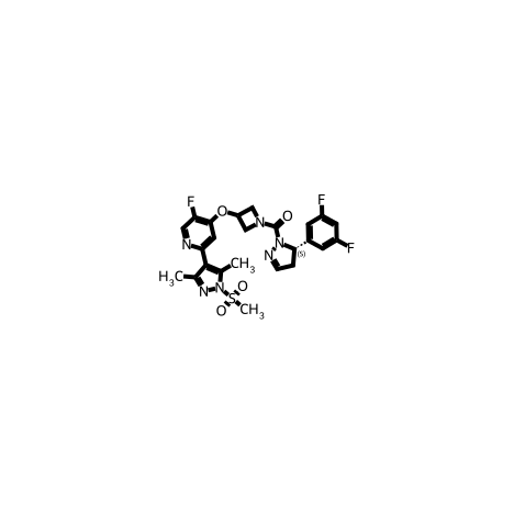 Cc1nn(S(C)(=O)=O)c(C)c1-c1cc(OC2CN(C(=O)N3N=CC[C@H]3c3cc(F)cc(F)c3)C2)c(F)cn1